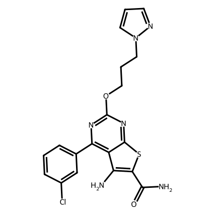 NC(=O)c1sc2nc(OCCCn3cccn3)nc(-c3cccc(Cl)c3)c2c1N